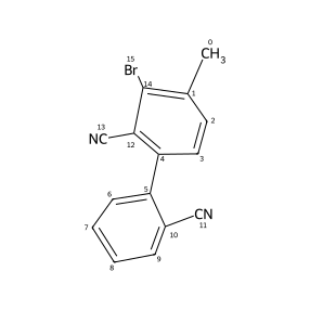 Cc1ccc(-c2ccccc2C#N)c(C#N)c1Br